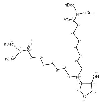 CCCCCCCCCCN(CCCCCCCCCC)C(=O)CCCCCCCN(CCCCCCCC(=O)N(CCCCCCCCCC)CCCCCCCCCC)C1COCC1O